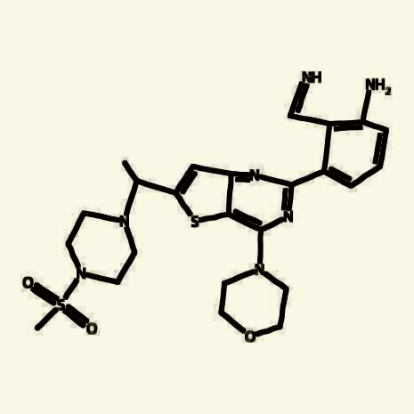 CC(c1cc2nc(-c3cccc(N)c3C=N)nc(N3CCOCC3)c2s1)N1CCN(S(C)(=O)=O)CC1